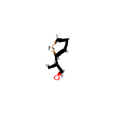 C=C([C]=O)c1cccs1